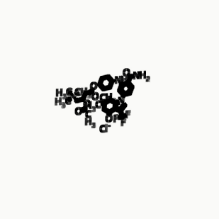 CC(=O)OC(CC(=O)O[C@H]1CC[C@H](Nc2cc(-n3cc(C(F)(F)F)c4c3CC(C)(C)CC4=O)ccc2C(N)=O)CC1)C[N+](C)(C)C.[Cl-]